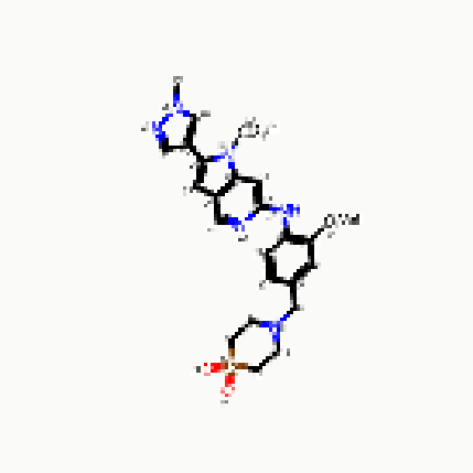 COc1cc(CN2CCS(=O)(=O)CC2)ccc1Nc1cc2c(cn1)cc(-c1cnn(C)c1)n2C(=O)O